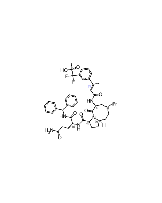 C/C(=C\C(=O)N[C@H]1CN(C(C)C)CC[C@H]2CC[C@@H](C(=O)N[C@@H](CCC(N)=O)C(=O)NC(c3ccccc3)c3ccccc3)N2C1=O)c1cccc(C(F)(F)P(C)(=O)O)c1